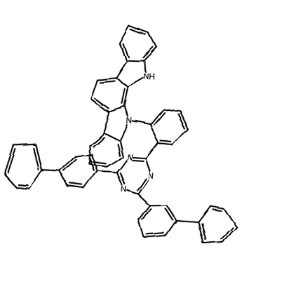 c1ccc(-c2ccc(-c3nc(-c4cccc(-c5ccccc5)c4)nc(-c4ccccc4-n4c5ccccc5c5ccc6c7ccccc7[nH]c6c54)n3)cc2)cc1